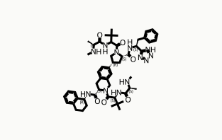 CN[C@@H](C)C(=O)NC(C(=O)N1C[C@@H](c2ccc3c(c2)CN(C(=O)[C@@H](NC(=O)[C@H](C)NC)C(C)(C)C)[C@H](C(=O)N[C@@H]2CCCc4ccccc42)C3)C[C@H]1C(=O)N[C@@H](Cc1ccccc1)c1nnn[nH]1)C(C)(C)C